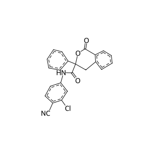 N#Cc1ccc(NC(=O)C2(c3ccccc3)Cc3ccccc3C(=O)O2)cc1Cl